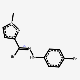 Cn1ccc(/C(Br)=N/Nc2ccc(Br)cc2)n1